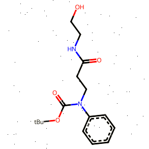 CC(C)(C)OC(=O)N(CCC(=O)NCCO)c1ccccc1